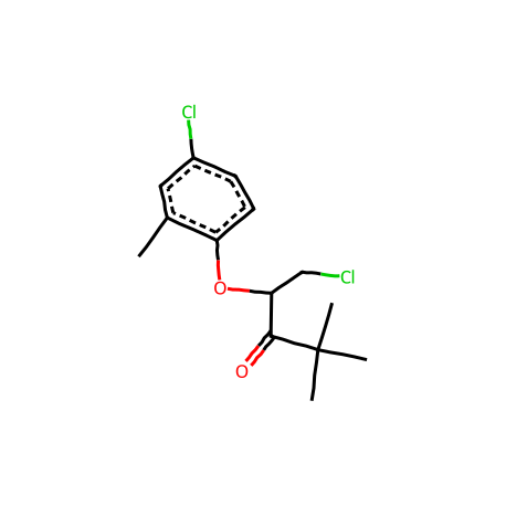 Cc1cc(Cl)ccc1OC(CCl)C(=O)C(C)(C)C